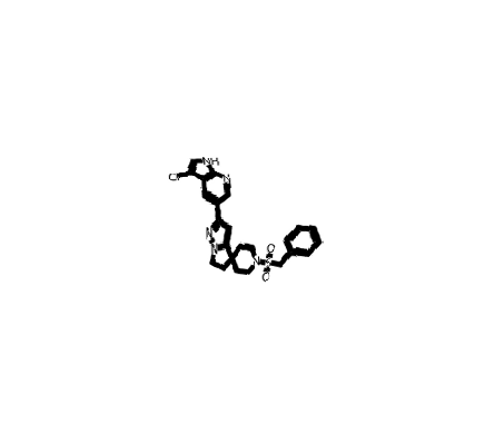 O=S(=O)(Cc1ccccc1)N1CCC2(CC1)CCn1nc(-c3cnc4[nH]cc(Cl)c4c3)cc12